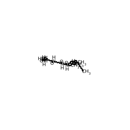 CCCCCCCC[C@@H](C)C1CC[C@H]2[C@H]3CC=C4C[C@@H](NC(=O)CCNC(=O)CCCCCNC(=O)CCCC[C@@H]5SC[C@@H]6NC(=O)N[C@@H]65)CCC4(C)C3CCC12C